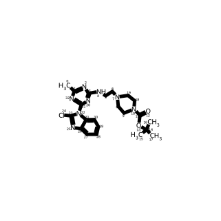 Cc1nc(NCCN2CCN(C(=O)OC(C)(C)C)CC2)nc(-n2c(Cl)nc3ccccc32)n1